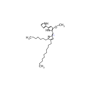 CCCCCCCCCCCC1=C/C(=C/c2[nH]c(-c3ccc[nH]3)cc2OCC)N=C1CCCCCCC